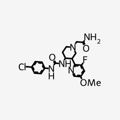 COc1cnc(C2CN(CC(N)=O)CCC2NC(=O)Nc2ccc(Cl)cc2)c(F)c1